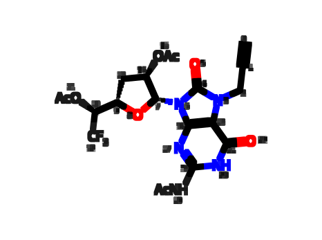 C#CCn1c(=O)n([C@@H]2O[C@H]([C@H](OC(C)=O)C(F)(F)F)C[C@H]2OC(C)=O)c2nc(NC(C)=O)[nH]c(=O)c21